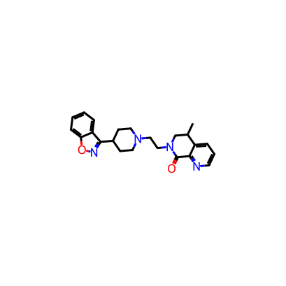 CC1CN(CCN2CCC(c3noc4ccccc34)CC2)C(=O)c2ncccc21